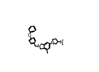 Cc1cc(N2CCC(N(C)C)C2)cc2c1CN(Cc1ccc(Oc3ccccc3)cc1)C2